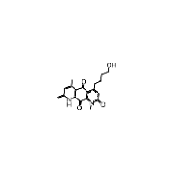 C=C1C=C(C)C2=C(N1)C(=O)c1c(c(CCCCO)cc(=O)n1C)C2=O